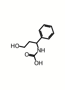 O=C(O)NC(CCO)c1ccccc1